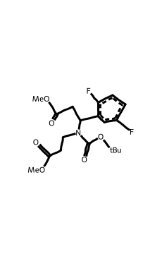 COC(=O)CCN(C(=O)OC(C)(C)C)C(CC(=O)OC)c1cc(F)ccc1F